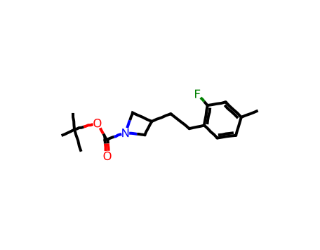 Cc1ccc(CCC2CN(C(=O)OC(C)(C)C)C2)c(F)c1